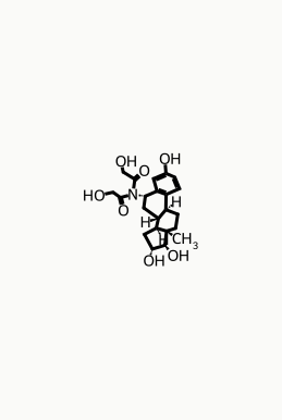 C[C@]12CC[C@@H]3c4ccc(O)cc4[C@@H](N(C(=O)CO)C(=O)CO)C[C@H]3[C@@H]1C[C@@H](O)[C@@H]2O